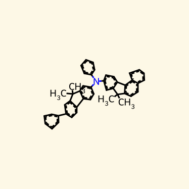 CC1(C)c2cc(-c3ccccc3)ccc2-c2ccc(N(c3ccccc3)c3ccc4c(c3)C(C)(C)c3ccc5ccccc5c3-4)cc21